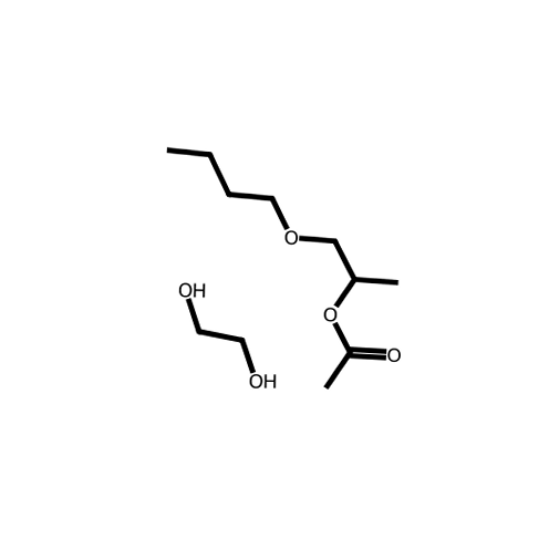 CCCCOCC(C)OC(C)=O.OCCO